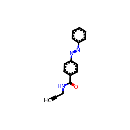 C#CCNC(=O)c1ccc(N=Nc2ccccc2)cc1